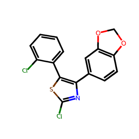 Clc1nc(-c2ccc3c(c2)OCO3)c(-c2ccccc2Cl)s1